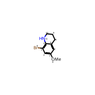 COc1cc(Br)c2c(c1)CCCN2